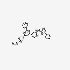 Nc1ncc(-c2cc(-c3ccnc(Nc4ncc(-c5ccccc5)s4)c3)nc(N3CCOCC3)n2)cn1